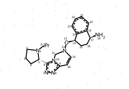 CC(C)N1CCC[C@H]1c1nnc2n1CN(O[C@@H]1CC[C@H](N)c3ccccc31)C=C2